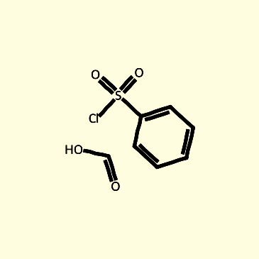 O=CO.O=S(=O)(Cl)c1ccccc1